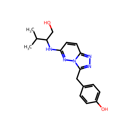 CC(C)C(CO)Nc1ccc2nnc(Cc3ccc(O)cc3)n2n1